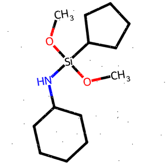 CO[Si](NC1CCCCC1)(OC)C1CCCC1